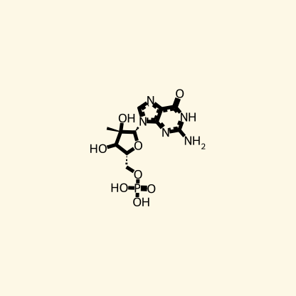 C[C@]1(O)C(O)[C@@H](COP(=O)(O)O)O[C@H]1n1cnc2c(=O)[nH]c(N)nc21